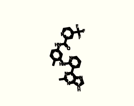 Cc1nc(-c2cccnc2Nc2cc(NC(=O)c3cc(C(F)(F)F)ccn3)ccc2C)c2nc[nH]c2n1